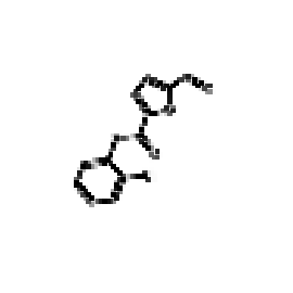 O=Cc1ccc(C(=O)Sc2ccccc2Cl)o1